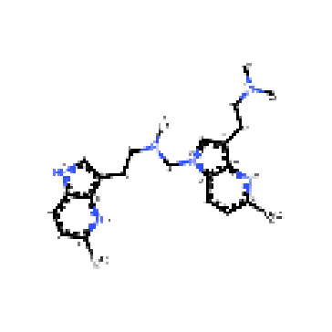 CCN(CCc1c[nH]c2ccc(OC(C)=O)nc12)Cn1cc(CCN(C)C)c2nc(OC(C)=O)ccc21